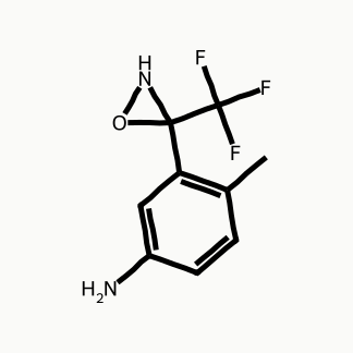 Cc1ccc(N)cc1C1(C(F)(F)F)NO1